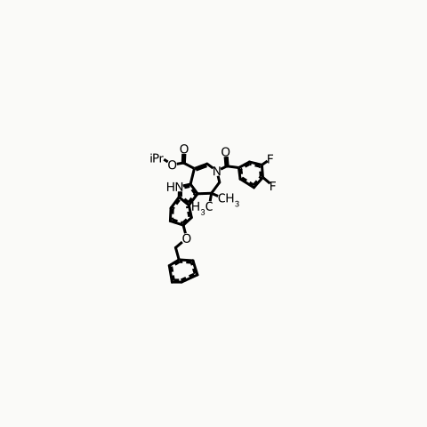 CC(C)OC(=O)C1=CN(C(=O)c2ccc(F)c(F)c2)CC(C)(C)c2c1[nH]c1ccc(OCc3ccccc3)cc21